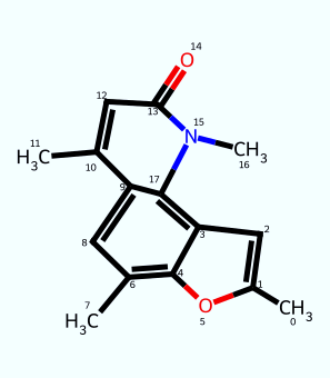 Cc1cc2c(o1)c(C)cc1c(C)cc(=O)n(C)c12